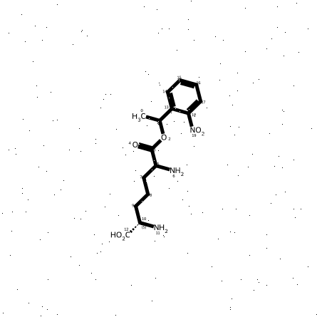 CC(OC(=O)C(N)CCC[C@H](N)C(=O)O)c1ccccc1[N+](=O)[O-]